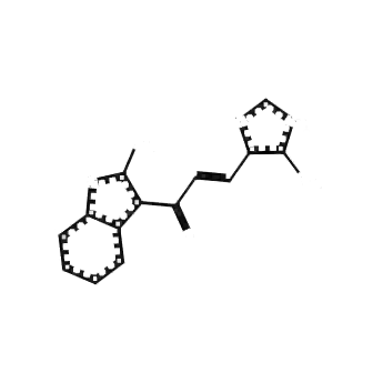 Cc1[nH]cnc1/C=C/C(=O)c1c(C)oc2ccccc12